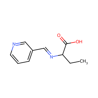 CCC(/N=C/c1cccnc1)C(=O)O